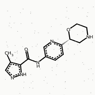 Cc1cn[nH]c1C(=O)Nc1ccc([C@H]2CNCCO2)nc1